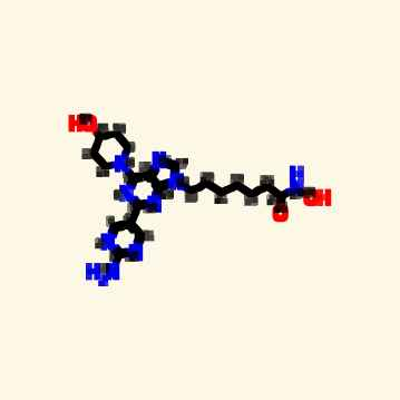 Nc1ncc(-c2nc(N3CCC(O)CC3)c3ncn(CCCCCCC(=O)NO)c3n2)cn1